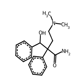 CN(C)CCC(C(N)=O)(c1ccccc1)C(O)c1ccccc1